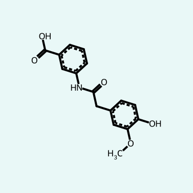 COc1cc(CC(=O)Nc2cccc(C(=O)O)c2)ccc1O